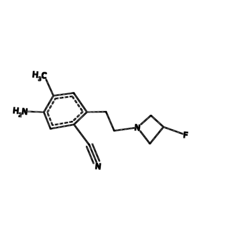 Cc1cc(CCN2CC(F)C2)c(C#N)cc1N